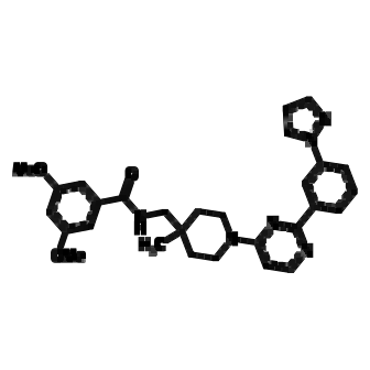 COc1cc(OC)cc(C(=O)NCC2(C)CCN(c3ccnc(-c4cccc(-n5cccn5)c4)n3)CC2)c1